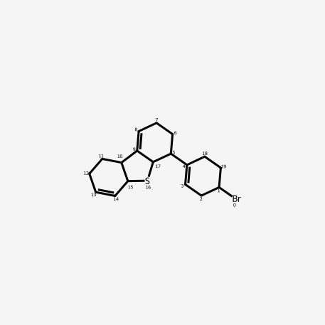 BrC1CC=C(C2CCC=C3C4CCC=CC4SC32)CC1